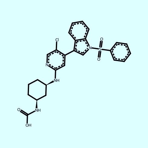 O=C(O)N[C@H]1CCC[C@@H](Nc2cc(-c3cn(S(=O)(=O)c4ccccc4)c4ccccc34)c(Cl)cn2)C1